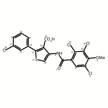 COc1c(Cl)cc(C(=O)Nc2csc(-c3cccc(Cl)c3)c2C(=O)O)c(Cl)c1Cl